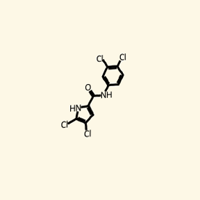 O=C(Nc1ccc(Cl)c(Cl)c1)c1cc(Cl)c(Cl)[nH]1